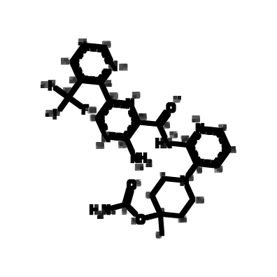 CC1(OC(N)=O)CCN(c2cccnc2NC(=O)c2nc(-c3ncccc3C(F)(F)F)cnc2N)CC1